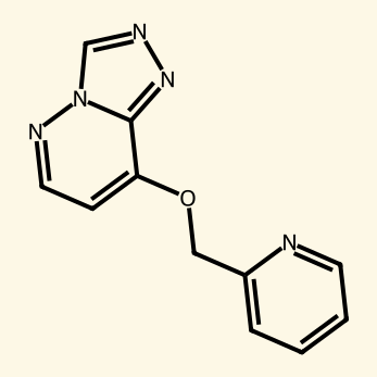 c1ccc(COc2ccnn3cnnc23)nc1